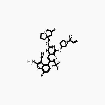 C=CC(=O)N1CCC(Oc2nc(OCC34CCCN3CC(F)C4)nc3cc(-c4ccc(F)c5sc(N)c(C#N)c45)c(C(F)(F)F)nc23)C1